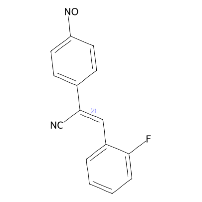 N#C/C(=C\c1ccccc1F)c1ccc(N=O)cc1